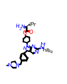 CCCCNc1ncc2c(-c3ccc(CN4CCN(C)CC4)cc3)nn(C3CCC(OC(=O)[C@@H](N)C(C)C)CC3)c2n1